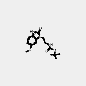 COc1ccc2[nH]c(=O)n(CCNC(=O)OC(C)(C)C)c2c1